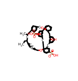 CCC1CC(C)c2ccc(cc2)COc2c3cccc2Cc2cc(S(=O)(=O)O)cc(c2O)Cc2cc(S(=O)(=O)O)cc(c2OCc2ccc1cc2)Cc1cccc(c1O)C3